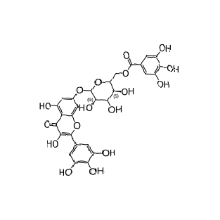 O=C(OCC1OC(Oc2cc(O)c3c(=O)c(O)c(-c4cc(O)c(O)c(O)c4)oc3c2)[C@H](O)C(O)[C@@H]1O)c1cc(O)c(O)c(O)c1